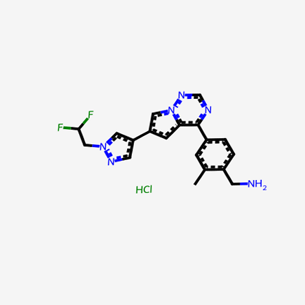 Cc1cc(-c2ncnn3cc(-c4cnn(CC(F)F)c4)cc23)ccc1CN.Cl